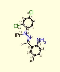 C/C(=N\N(c1ccc(Cl)cc1Cl)C(C)C)c1cc(C)ccc1N